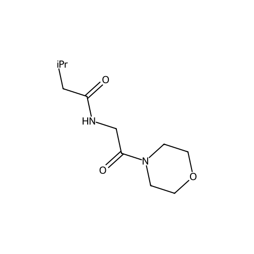 CC(C)CC(=O)NCC(=O)N1CCOCC1